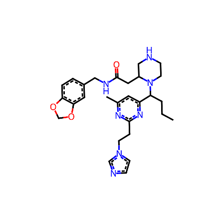 CCCC(c1cc(C)nc(CCn2ccnc2)n1)N1CCNCC1CC(=O)NCc1ccc2c(c1)OCO2